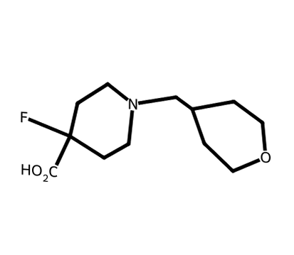 O=C(O)C1(F)CCN(CC2CCOCC2)CC1